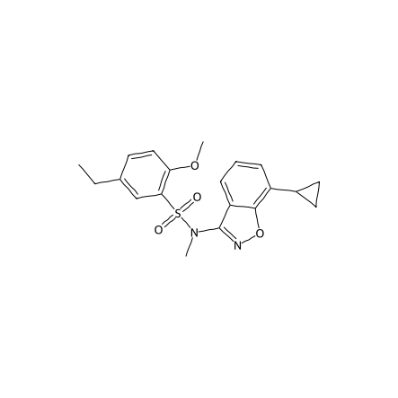 CCc1ccc(OC)c(S(=O)(=O)N(C)c2noc3c(C4CC4)cccc23)c1